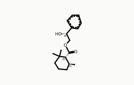 C[C@H]1CCCC(C)(C)[C@@H]1C(=O)OC[C@H](O)c1ccccc1